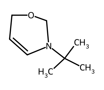 CC(C)(C)N1C=CCOC1